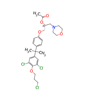 CC(=O)O[C@@H](COc1ccc(C(C)(C)c2cc(Cl)c(OCCCCl)c(Cl)c2)cc1)CN1CCOCC1